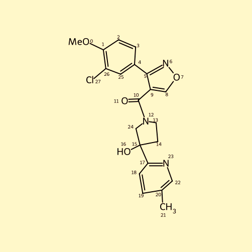 COc1ccc(-c2nocc2C(=O)N2CCC(O)(c3ccc(C)cn3)C2)cc1Cl